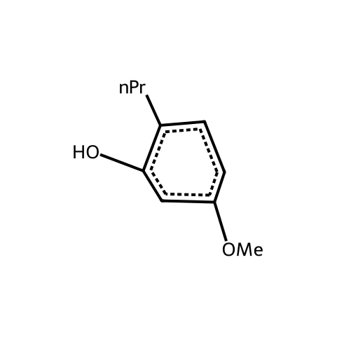 [CH2]CCc1ccc(OC)cc1O